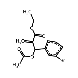 C=C(C(=O)OCC)C(OC(C)=O)c1cccc(Br)c1